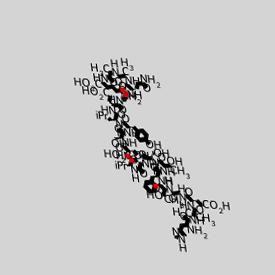 CC(C)C[C@H](NC(=O)[C@H](Cc1ccc(O)cc1)NC(=O)[C@H](CO)NC(=O)[C@H](CO)NC(=O)[C@@H](NC(=O)[C@H](CCC(=O)O)NC(=O)[C@H](CO)NC(=O)[C@@H](NC(=O)[C@H](Cc1ccccc1)NC(=O)[C@@H](NC(=O)CNC(=O)[C@H](CCC(=O)O)NC(=O)C(C)(C)NC(=O)[C@@H](N)Cc1c[nH]cn1)[C@@H](C)O)[C@@H](C)O)C(C)C)C(=O)N[C@@H](CCC(=O)O)C(=O)NCC(=O)N[C@@H](CCC(N)=O)C(=O)N[C@@H](C)C(=O)N[C@@H](C)C(=O)N[C@@H](CCCCN)C(=O)O